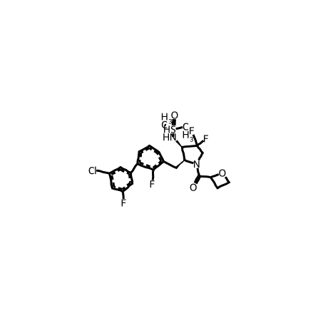 C[SH](C)(=O)N[C@@H]1[C@H](Cc2cccc(-c3cc(F)cc(Cl)c3)c2F)N(C(=O)C2CCO2)CC1(F)F